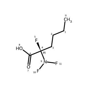 CCCC[C@@](F)(C(=O)O)N(F)F